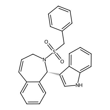 O=S(=O)(Cc1ccccc1)N1CC=Cc2ccccc2[C@H]1c1c[nH]c2ccccc12